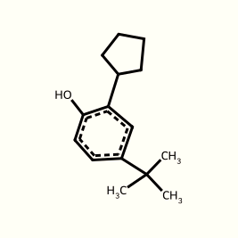 CC(C)(C)c1ccc(O)c(C2CCCC2)c1